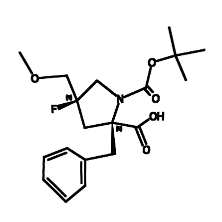 COC[C@]1(F)CN(C(=O)OC(C)(C)C)[C@](Cc2ccccc2)(C(=O)O)C1